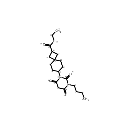 CCCCN1C(=O)CC(=O)N(C2CCC3(CC2)CC(C(=O)OCC)C3)C1=O